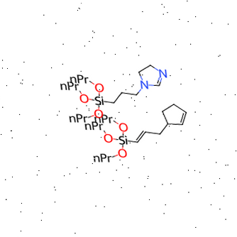 CCCO[Si](C=CCC1C=CCC1)(OCCC)OCCC.CCCO[Si](CCCN1C=NCC1)(OCCC)OCCC